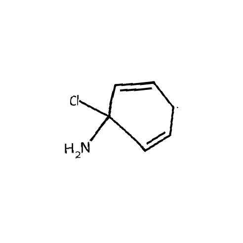 NC1(Cl)C=C[CH]C=C1